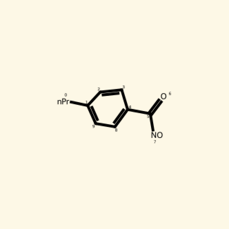 CCCc1ccc(C(=O)N=O)cc1